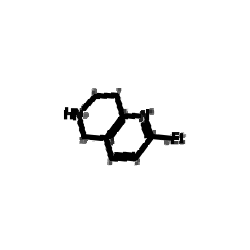 CCc1ccc2c(n1)CCNC2